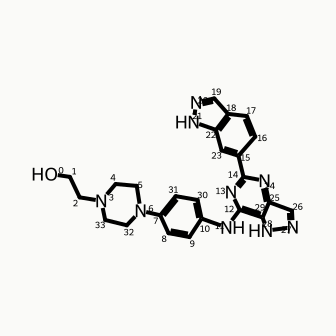 OCCN1CCN(c2ccc(Nc3nc(-c4ccc5cn[nH]c5c4)nc4cn[nH]c34)cc2)CC1